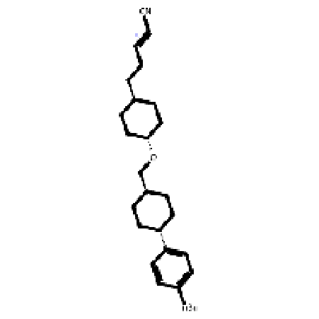 CCCCc1ccc([C@H]2CC[C@H](CO[C@H]3CC[C@H](CC/C=C/C#N)CC3)CC2)cc1